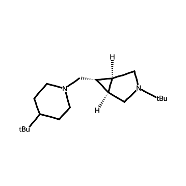 CC(C)(C)C1CCN(C[C@@H]2[C@H]3CN(C(C)(C)C)C[C@@H]23)CC1